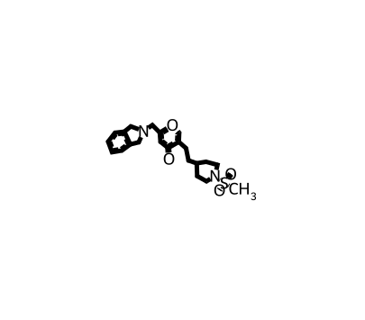 CS(=O)(=O)N1CCC(CCc2coc(CN3Cc4ccccc4C3)cc2=O)CC1